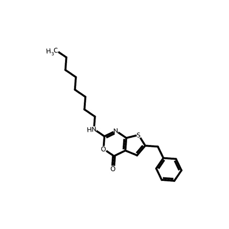 CCCCCCCCNc1nc2sc(Cc3ccccc3)cc2c(=O)o1